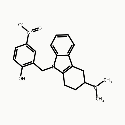 CN(C)C1CCc2c(c3ccccc3n2Cc2cc([N+](=O)[O-])ccc2O)C1